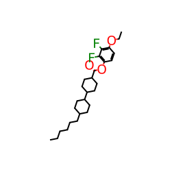 CCCCCCC1CCC(C2CCC(C(=O)Oc3ccc(OCC)c(F)c3F)CC2)CC1